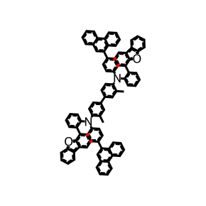 Cc1cc(-c2ccc(N(c3ccc(-c4cc5ccccc5c5ccccc45)cc3)c3ccccc3-c3cccc4c3oc3ccccc34)c(C)c2)ccc1N(c1ccc(-c2cc3ccccc3c3ccccc23)cc1)c1ccccc1-c1cccc2c1oc1ccccc12